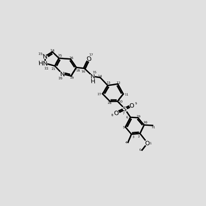 COc1c(C)cc(S(=O)(=O)c2ccc(CNC(=O)c3cnc4[nH]ncc4c3)cc2)cc1C